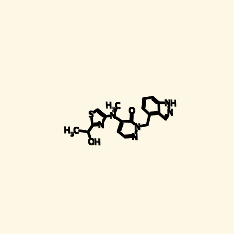 CC(O)c1nc(N(C)c2ccnn(Cc3cccc4[nH]ncc34)c2=O)cs1